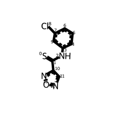 S=C(Nc1cccc(Cl)c1)c1cnon1